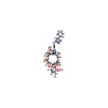 CCO[C@@H](O[C@@H]1[C@@H](C)C(=O)[C@@H](C)C(=O)O[C@H](CC)[C@@]2(C)OC(=O)N(CC#CCn3cc(-c4ccccn4)nn3)[C@@H]2[C@@H](C)C(=O)[C@H](C)C[C@@]1(C)OC)C(O)C(CC)N(C)C